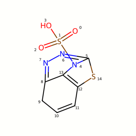 O=S(=O)(O)N1C2=NN=C3CC=CC(=C31)S2